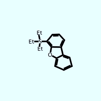 CCS(CC)(CC)c1cccc2c1oc1ccccc12